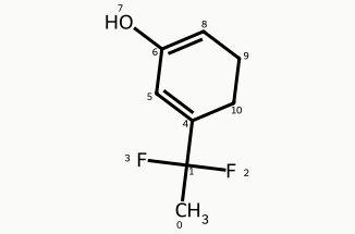 CC(F)(F)C1=CC(O)=CCC1